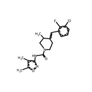 Cc1onc(NC(=O)N2CC/C(=C\c3cccc(Cl)c3F)C(C)C2)c1C